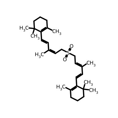 CC(C=CC1=C(C)CCCC1(C)C)=CCS(=O)(=O)CC=C(C)C=CC1=C(C)CCCC1(C)C